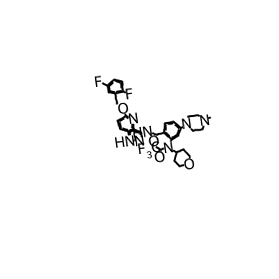 CN1CCN(c2ccc(C(=O)Nc3n[nH]c4ccc(OCc5cc(F)ccc5F)nc34)c(N(C(=O)C(F)(F)F)C3CCOCC3)c2)CC1